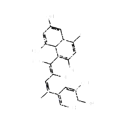 C/C=C(\C=C(\O)CO)C(/I)=C\C(O)=C(/C)C1=C(O)C=C(I)C2C=C(O)C=C(O)C12